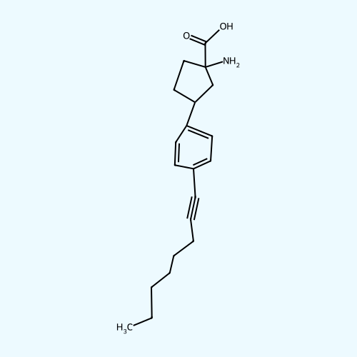 CCCCCCC#Cc1ccc(C2CCC(N)(C(=O)O)C2)cc1